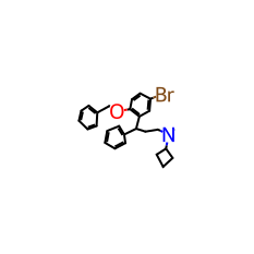 CN(CCC(c1ccccc1)c1cc(Br)ccc1OCc1ccccc1)C1CCC1